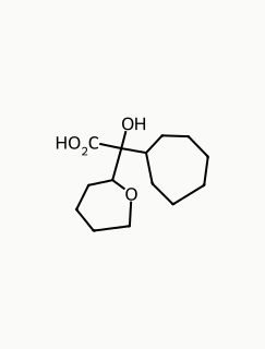 O=C(O)C(O)(C1CCCCCC1)C1CCCCO1